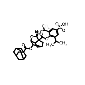 CC(C)c1cc(S(=O)(=O)O)cc(C(C)C)c1OC(=O)C12CC3CC1C(OC2=O)C3OC(=O)C12CC3CC(CC(C3)C1)C2